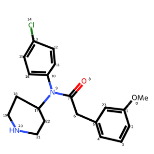 COc1cccc(CC(=O)N(c2ccc(Cl)cc2)C2CCNCC2)c1